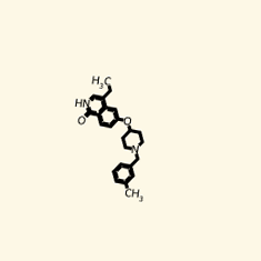 CCc1c[nH]c(=O)c2ccc(OC3CCN(Cc4cccc(C)c4)CC3)cc12